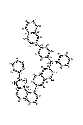 c1ccc(-c2nc3ccc4cccc(-c5ccc6cc(N(c7ccccc7)c7ccc(-c8ccc9ccccc9c8)cc7)ccc6c5)c4c3o2)cc1